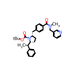 C[C@H](c1ccccc1)[C@H]1CC[C@@H](Cc2ccc(C(=O)N(C)Cc3cccnc3)cc2)N1C(=O)OC(C)(C)C